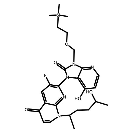 CC(O)CCC(C)n1ccc(=O)c2cc(F)c(-n3c(=O)n(COCC[Si](C)(C)C)c4nccc(O)c43)nc21